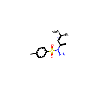 C=C(/C=C(\CC)NC)N(N)S(=O)(=O)c1ccc(C)cc1